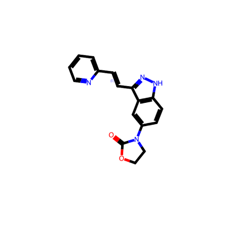 O=C1OCCN1c1ccc2[nH]nc(/C=C/c3ccccn3)c2c1